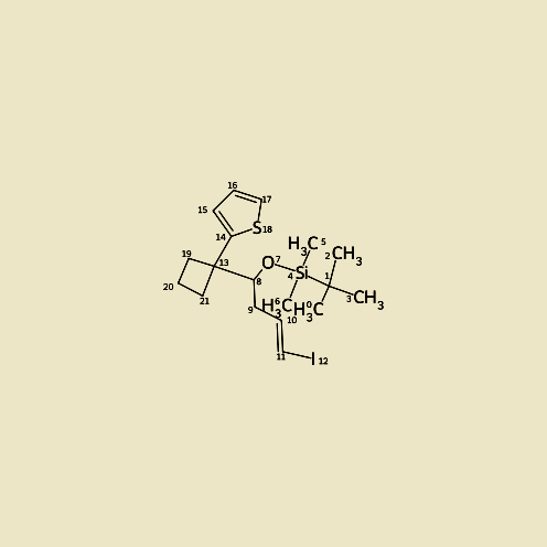 CC(C)(C)[Si](C)(C)OC(C/C=C/I)C1(c2cccs2)CCC1